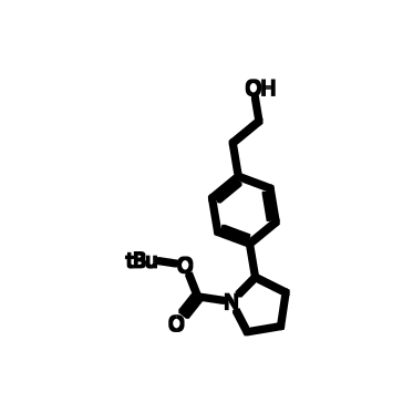 CC(C)(C)OC(=O)N1CCCC1c1ccc(CCO)cc1